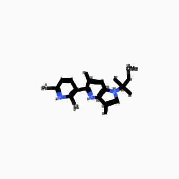 CCc1nc(C(C)C)ccc1-c1nc2c(C)cn(C(C)(C)COC)c2cc1C